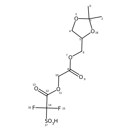 CC1(C)OCC(COC(=O)COC(=O)C(F)(F)S(=O)(=O)O)O1